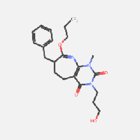 Cn1c2c(c(=O)n(CCCO)c1=O)CCC(Cc1ccccc1)C(OCCC(F)(F)F)=N2